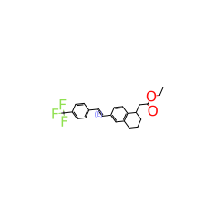 CCOC(=O)CC1CCCc2cc(/C=C/c3ccc(C(F)(F)F)cc3)ccc21